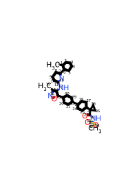 Cc1ccccc1-c1cccc(Nc2c(C)noc2-c2ccc(-c3ccc(C4(C(=O)NS(C)(=O)=O)CC4)cc3)cc2)n1